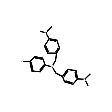 [CH2]c1ccc(N(Cc2ccc(N(C)C)cc2)Cc2ccc(N(C)C)cc2)cc1